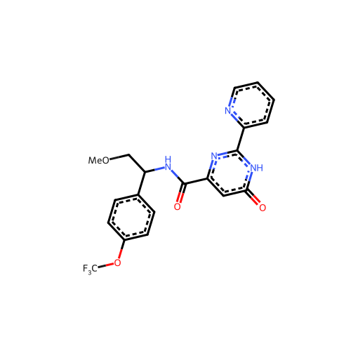 COCC(NC(=O)c1cc(=O)[nH]c(-c2ccccn2)n1)c1ccc(OC(F)(F)F)cc1